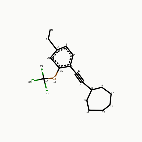 CCc1ccc(C#CC2CCCCCC2)c(SC(F)(F)F)c1